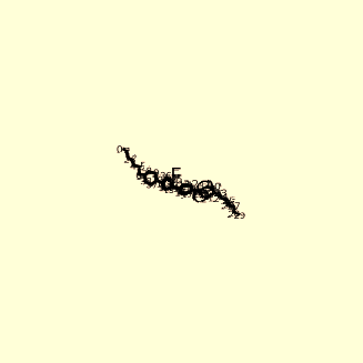 CCCCCCCC1CCC(c2ccc(-c3ccc(C4OCC(CCCCCCC)CO4)cc3)c(F)c2)CC1